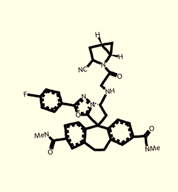 CNC(=O)c1ccc2c(c1)CCc1cc(C(=O)NC)ccc1C2(C[C@H](C)NCC(=O)N1C(C#N)C[C@@H]2C[C@@H]21)c1nnc(-c2ccc(F)cc2)o1